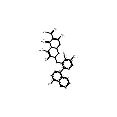 C=C(N)C1=C(C)CC2CC(Cc3c(-c4ccc(CC)c5ccccc45)ccc(C)c3C)C(CC)=C(N)C2C1=C